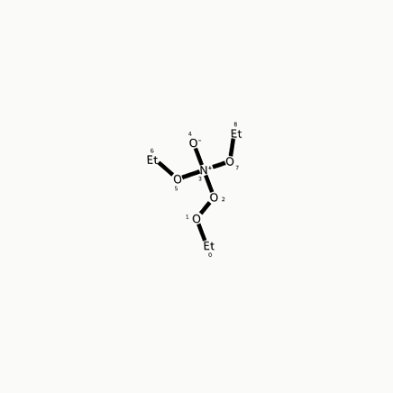 CCOO[N+]([O-])(OCC)OCC